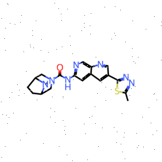 Cc1nnc(-c2cnc3cnc(NC(=O)N4CC5CCC(C4)N5C)cc3c2)s1